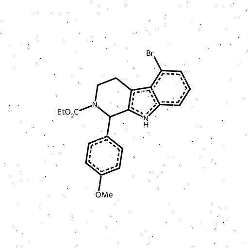 CCOC(=O)N1CCc2c([nH]c3cccc(Br)c23)C1c1ccc(OC)cc1